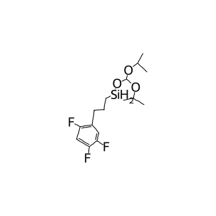 CC(C)OC(O[SiH2]CCCc1cc(F)c(F)cc1F)OC(C)C